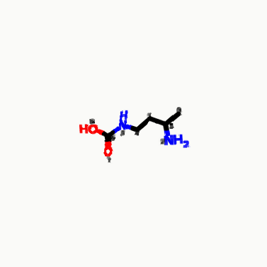 CC(N)CCNC(=O)O